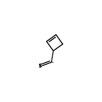 S=[C]C1C=CC1